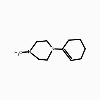 CN1CCN(C2=CCCCC2)CC1